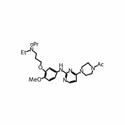 CCCN(CC)CCCOc1cc(Nc2nccc(N3CCN(C(C)=O)CC3)n2)ccc1OC